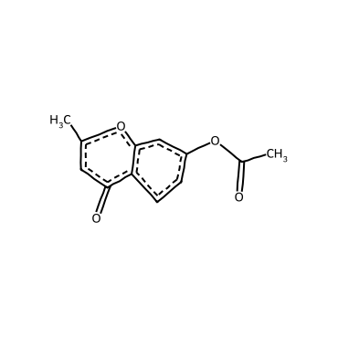 CC(=O)Oc1ccc2c(=O)cc(C)oc2c1